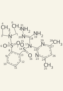 CCN(CC)S(=O)(=O)c1ccccc1S(=O)(=O)N(C(N)=NN)c1nc(C)cc(C)n1